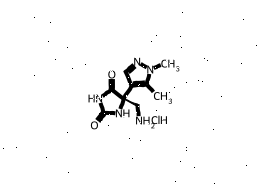 Cc1c([C@]2(CN)NC(=O)NC2=O)cnn1C.Cl